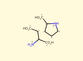 NC(CC(=O)O)C(=O)O.O=C(O)C1CCCN1